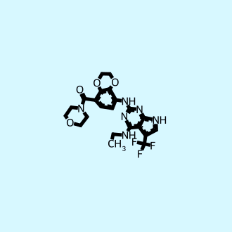 CCNc1nc(Nc2ccc(C(=O)N3CCOCC3)c3c2OCCO3)nc2[nH]cc(C(F)(F)F)c12